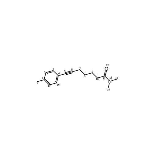 Cc1ccc(C#CCCCCC(=O)N(C)C)cc1